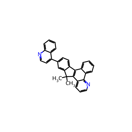 CC1(C)c2cc(-c3ccnc4ccccc34)ccc2-c2c1c1cccnc1c1ccccc21